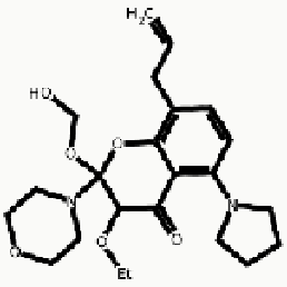 C=CCc1ccc(N2CCCC2)c2c1OC(OCO)(N1CCOCC1)C(OCC)C2=O